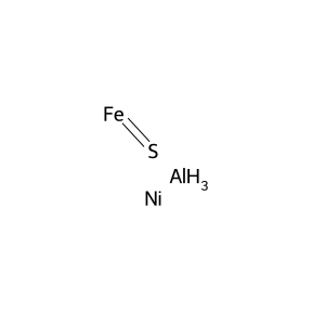 [AlH3].[Ni].[S]=[Fe]